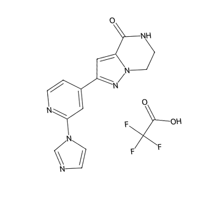 O=C(O)C(F)(F)F.O=C1NCCn2nc(-c3ccnc(-n4ccnc4)c3)cc21